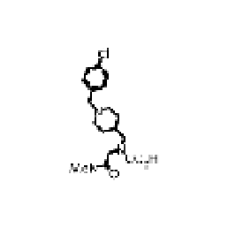 CNC(=O)CN(CC1CCN(Cc2ccc(Cl)cc2)CC1)C(=O)O